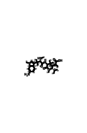 CN[C@H](C(=O)N[C@H](C(=O)N(C)[C@H](/C=C(\C)C(=O)O)C(C)C)C(C)(C)C)C(C)(C)c1cn(C)c2cc(N)ccc12